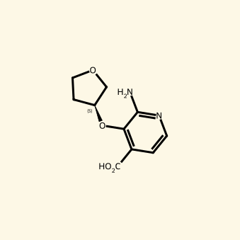 Nc1nccc(C(=O)O)c1O[C@H]1CCOC1